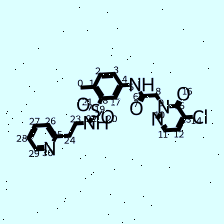 Cc1ccc(NC(=O)Cn2nccc(Cl)c2=O)cc1S(=O)(=O)NCCc1ccccn1